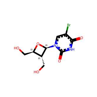 O=c1[nH]c(=O)n([C@@H]2O[C@H](CO)[C@H]2CO)cc1Br